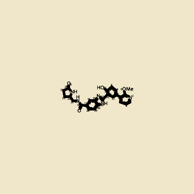 COc1ncccc1-c1ccc(O)c(-c2nc3cc(C(=O)NCC4CCC(=O)N4)ccc3[nH]2)c1